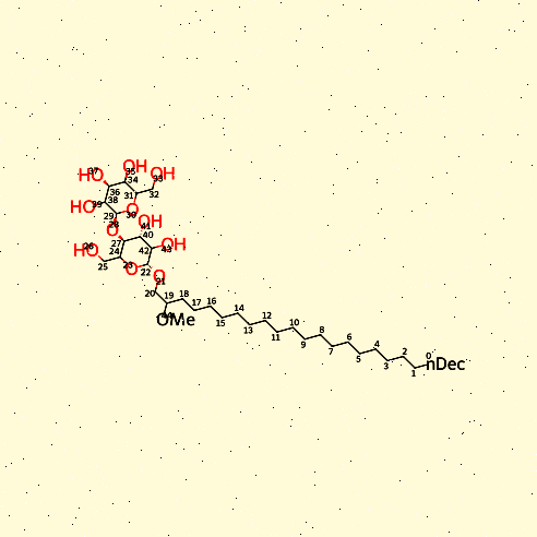 CCCCCCCCCCCCCCCCCCCCCCCCCCCCC(CO[C@@H]1OC(CO)[C@@H](O[C@@H]2OC(CO)[C@H](O)[C@H](O)C2O)[C@H](O)C1O)OC